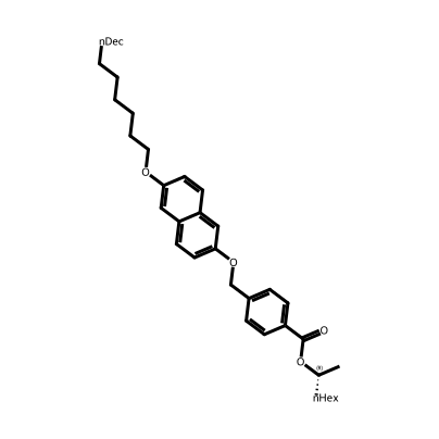 CCCCCCCCCCCCCCCCOc1ccc2cc(OCc3ccc(C(=O)O[C@H](C)CCCCCC)cc3)ccc2c1